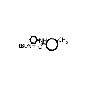 CC1CCCCCC(C(=O)NC2CCCC(NC(C)(C)C)C2)CCC1